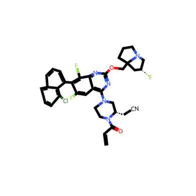 C=CC(=O)N1CCN(c2nc(OCC34CCCN3C[C@H](F)C4)nc3c(F)c(-c4cccc5cccc(Cl)c45)c(F)cc23)C[C@@H]1CC#N